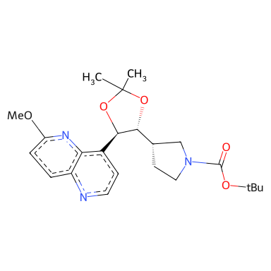 COc1ccc2nccc([C@H]3OC(C)(C)O[C@@H]3[C@H]3CCN(C(=O)OC(C)(C)C)C3)c2n1